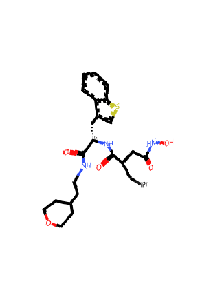 CC(C)CC(CC(=O)NO)C(=O)N[C@@H](Cc1csc2ccccc12)C(=O)NCCC1CCOCC1